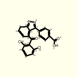 O=C(O)c1ccc(C2=NN=C3CC=CC(C(=O)c4c(Cl)cccc4Cl)=C32)cc1